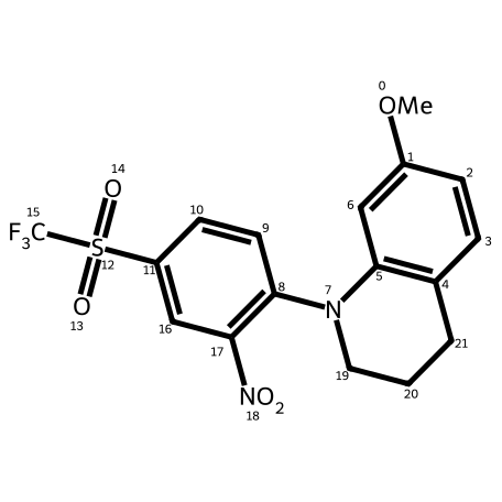 COc1ccc2c(c1)N(c1ccc(S(=O)(=O)C(F)(F)F)cc1[N+](=O)[O-])CCC2